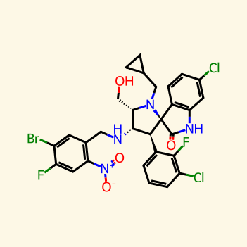 O=C1Nc2cc(Cl)ccc2[C@@]12[C@@H](c1cccc(Cl)c1F)[C@H](NCc1cc(Br)c(F)cc1[N+](=O)[O-])[C@H](CO)N2CC1CC1